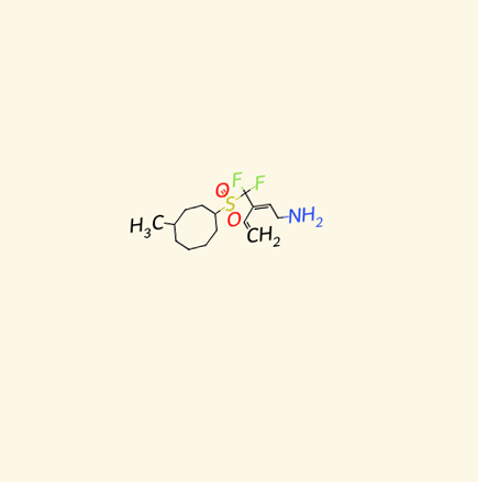 C=C/C(=C\CN)C(F)(F)S(=O)(=O)C1CCCCC(C)CC1